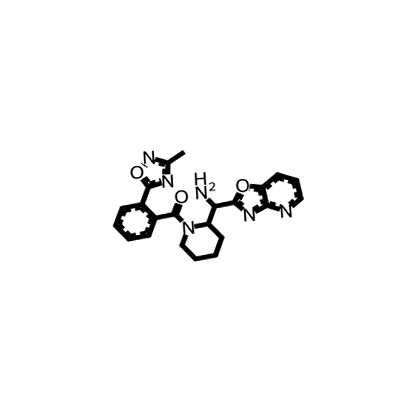 Cc1noc(-c2ccccc2C(=O)N2CCCCC2C(N)c2nc3ncccc3o2)n1